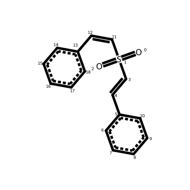 O=S(=O)(C=Cc1ccccc1)/C=C\c1ccccc1